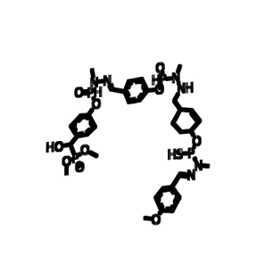 COc1ccc(/C=N/N(C)P(S)OC2C=CC(CNN(C)[PH](=O)Oc3ccc(/C=N/N(C)[PH](=O)Oc4ccc(C(O)P(=O)(OC)OC)cc4)cc3)CC2)cc1